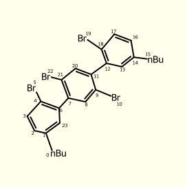 CCCCc1ccc(Br)c(-c2cc(Br)c(-c3cc(CCCC)ccc3Br)cc2Br)c1